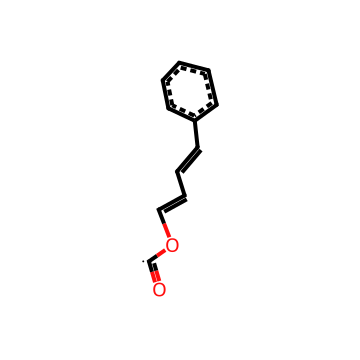 O=[C]OC=CC=Cc1ccccc1